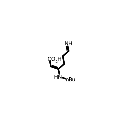 CCCCNC(=CC(=O)O)CCC=N